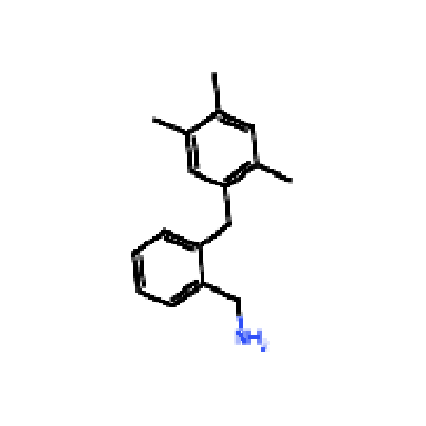 Cc1cc(C)c(Cc2ccccc2CN)cc1C